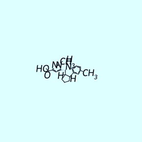 Cc1ccc2c(c1)[C@@H]1CCC[C@@H]1[C@H](c1cc(C(=O)O)nn1C)N2